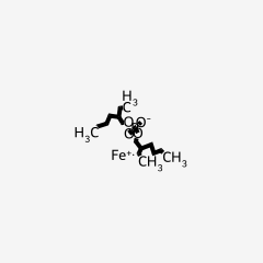 CCCCC(CC)COP(=O)([O-])OCC(CC)CCCC.[Fe+]